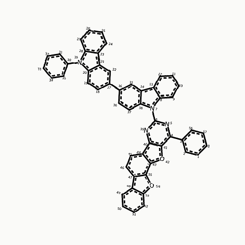 c1ccc(-c2nc(-n3c4ccccc4c4cc(-c5ccc6c(c5)c5ccccc5n6-c5ccccc5)ccc43)nc3c2oc2c3ccc3c4ccccc4oc32)cc1